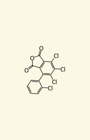 O=C1OC(=O)c2c1c(Cl)c(Cl)c(Cl)c2-c1ccccc1Cl